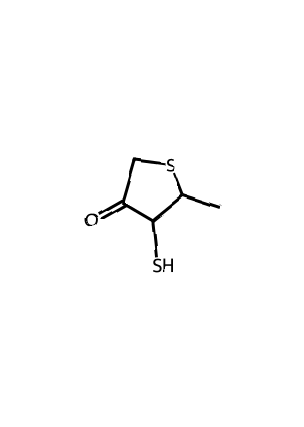 CC1SCC(=O)C1S